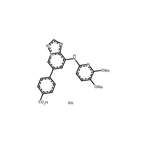 COc1ccc(Nc2cc(-c3ccc(C(=O)O)cc3)cn3ncnc23)nc1OC.[KH]